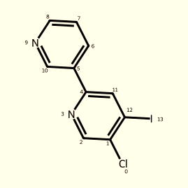 Clc1cnc(-c2cccnc2)cc1I